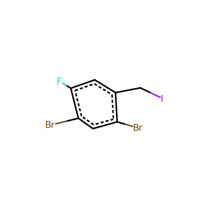 Fc1cc(CI)c(Br)cc1Br